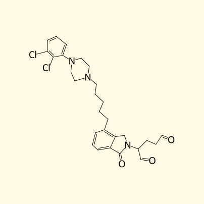 O=CCCC(C=O)N1Cc2c(CCCCCN3CCN(c4cccc(Cl)c4Cl)CC3)cccc2C1=O